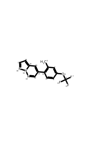 Cc1cc(OC(F)(F)F)ccc1-c1cnn2nccc2c1